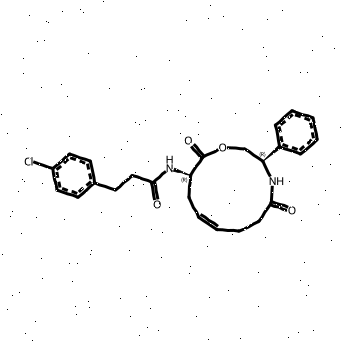 O=C1CCC=CC[C@@H](NC(=O)CCc2ccc(Cl)cc2)C(=O)OC[C@@H](c2ccccc2)N1